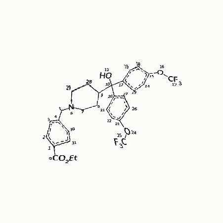 CCOC(=O)c1ccc(CN2CCC(C(O)(c3ccc(OC(F)(F)F)cc3)c3ccc(OC(F)(F)F)cc3)CC2)cc1